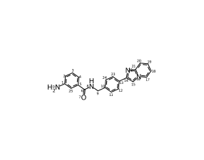 Nc1cccc(C(=O)NCc2ccc(-c3cn4ccccc4n3)cc2)c1